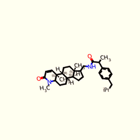 CC(C)Cc1ccc(C(C)C(=O)NCC2CC[C@H]3[C@@H]4CCC5N(C)C(=O)C=C[C@]5(C)[C@@H]4CC[C@]23C)cc1